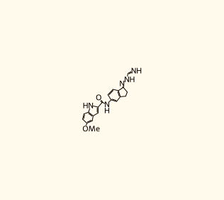 COc1ccc2[nH]c(C(=O)Nc3ccc4c(c3)CC/C4=N\NC=N)cc2c1